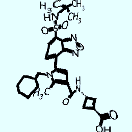 Cc1c(C(=O)N[C@H]2C[C@H](C(=O)O)C2)cc(-c2ccc(S(=O)(=O)NC(C)(C)C)c3nonc23)n1CC1CCCCC1